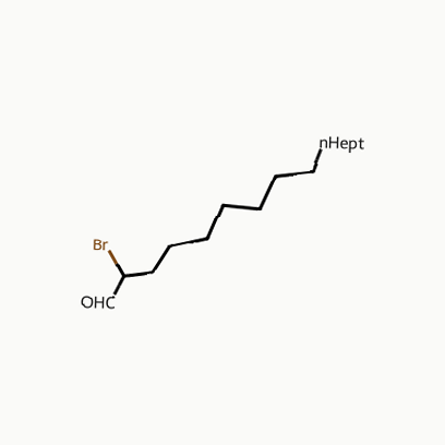 CCCCCCCCCCCCCCC(Br)C=O